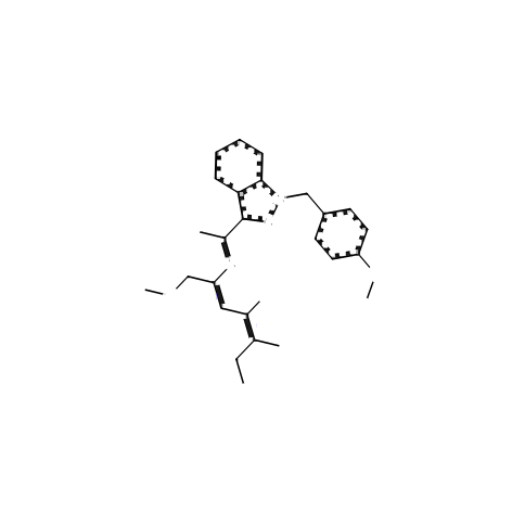 CC\C(C)=C(Cl)/C=C(COC)\N=C(/C)c1nn(Cc2ccc(OC)cc2)c2ccccc12